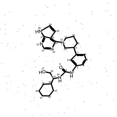 O=C(Nc1cccc(C2CCCN(c3ncnc4[nH]ccc34)C2)c1)N[C@H](CO)C1CCCCC1